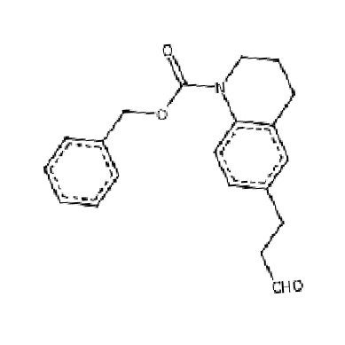 O=CCCc1ccc2c(c1)CCCN2C(=O)OCc1ccccc1